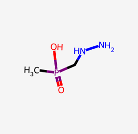 CP(=O)(O)CNN